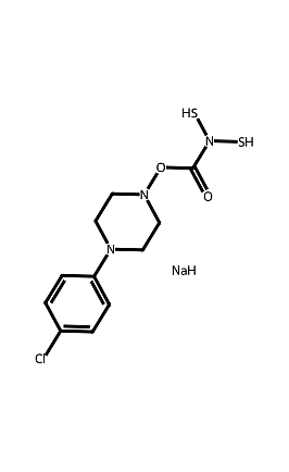 O=C(ON1CCN(c2ccc(Cl)cc2)CC1)N(S)S.[NaH]